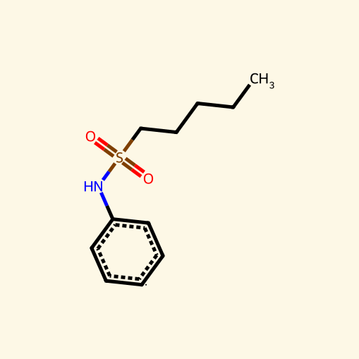 CCCCCS(=O)(=O)Nc1cc[c]cc1